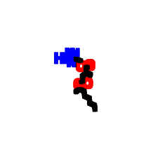 C=C(CC(=O)OC(C)CCCCCC)C(=O)OCc1nn[nH]n1